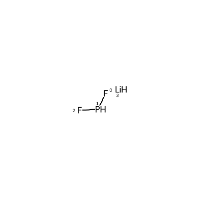 FPF.[LiH]